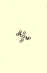 CN(c1ccccc1)c1ccc2c(-c3ccccc3)c3cc(N(c4ccccc4)c4ccccc4)ccc3c(-c3ccc4ccccc4c3)c2c1